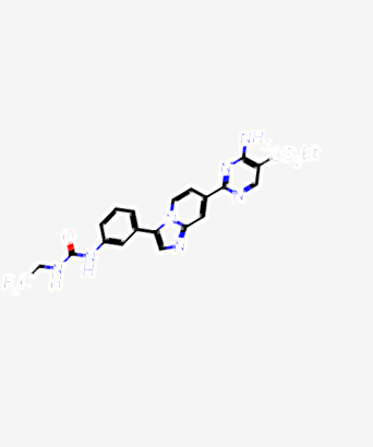 CCOC(=O)c1cnc(-c2ccn3c(-c4cccc(NC(=O)NCC(F)(F)F)c4)cnc3c2)nc1N